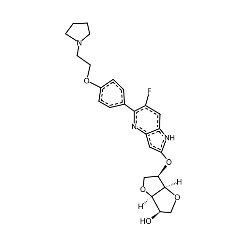 O[C@@H]1CO[C@H]2[C@@H]1OC[C@H]2Oc1cc2nc(-c3ccc(OCCN4CCCC4)cc3)c(F)cc2[nH]1